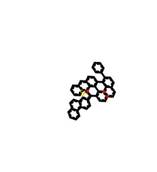 c1ccc(-c2ccc3ccccc3c2-c2ccc3cc4ccccc4cc3c2-c2ccccc2-c2csc3c2ccc2c4ccccc4ccc23)cc1